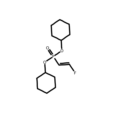 O=P(C=CF)(OC1CCCCC1)OC1CCCCC1